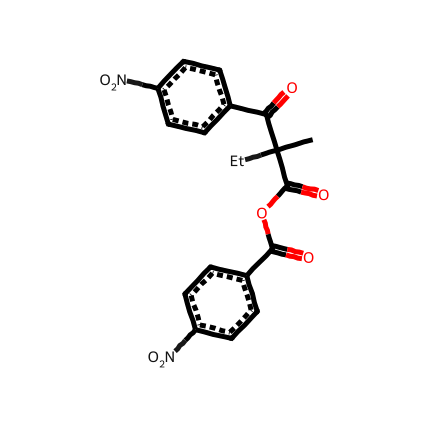 CCC(C)(C(=O)OC(=O)c1ccc([N+](=O)[O-])cc1)C(=O)c1ccc([N+](=O)[O-])cc1